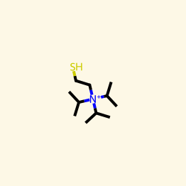 CC(C)[N+](CCS)(C(C)C)C(C)C